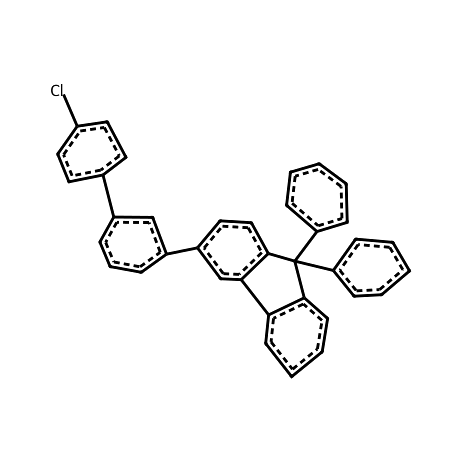 Clc1ccc(-c2cccc(-c3ccc4c(c3)-c3ccccc3C4(c3ccccc3)c3ccccc3)c2)cc1